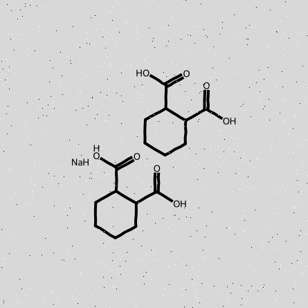 O=C(O)C1CCCCC1C(=O)O.O=C(O)C1CCCCC1C(=O)O.[NaH]